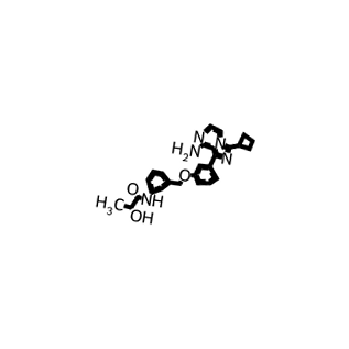 CC(O)C(=O)Nc1cccc(COc2cccc(-c3nc(C4CCC4)n4ccnc(N)c34)c2)c1